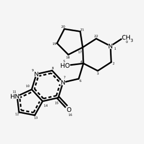 CN1CCC(O)(Cn2cnc3[nH]ccc3c2=O)C2(CCCC2)C1